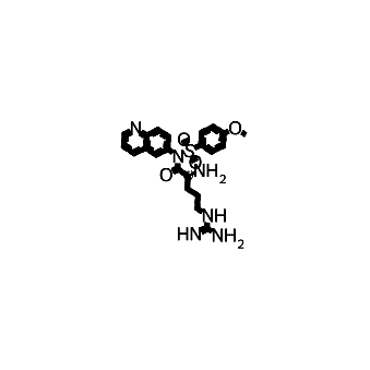 COc1ccc(S(=O)(=O)N(C(=O)[C@@H](N)CCCNC(=N)N)c2ccc3ncccc3c2)cc1